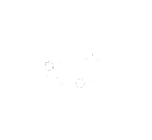 N#Cc1ccc(CCNC(=O)C2CCCN2c2cc(N3CCC(CCCNC(=O)NCS(=O)(=O)O)CC3)nc(C(F)(F)F)n2)cc1